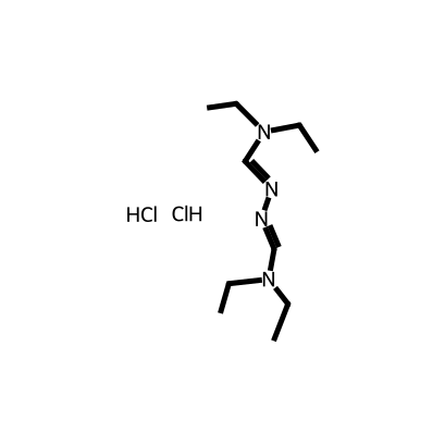 CCN(C=NN=CN(CC)CC)CC.Cl.Cl